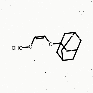 O=CO/C=C\OC12CC3CC(CC(C3)C1)C2